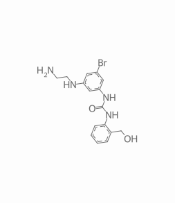 NCCNc1cc(Br)cc(NC(=O)Nc2ccccc2CO)c1